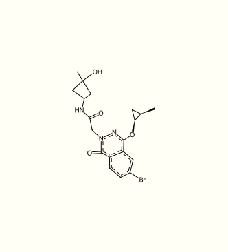 C[C@@H]1C[C@@H]1Oc1nn(CC(=O)NC2CC(C)(O)C2)c(=O)c2ccc(Br)cc12